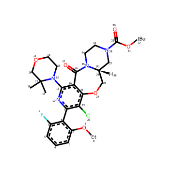 CCOc1cccc(F)c1-c1nc(N2CCOCC2(C)C)c2c(c1Cl)OC[C@H]1CN(C(=O)OC(C)(C)C)CCN1C2=O